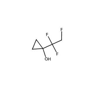 OC1(C(F)(F)CF)CC1